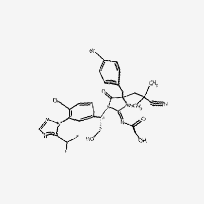 CC(C)(C#N)CC1(c2ccc(Br)cc2)NC(=NC(=O)O)N([C@H](CO)c2ccc(Cl)c(-n3ncnc3C(F)F)c2)C1=O